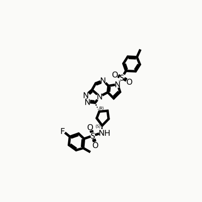 Cc1ccc(S(=O)(=O)n2ccc3c2ncc2nnc([C@@H]4CC[C@H](NS(=O)(=O)c5cc(F)ccc5C)C4)n23)cc1